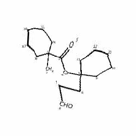 CC1(C(=O)OC2(CCC=O)CCCCC2)CCCCC1